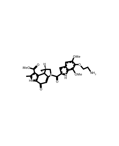 COC(=O)c1c(C)[nH]c2c1[C@@]13C[C@@H]1CN(C(=O)c1cc4cc(OC)c(OCCN)c(OC)c4[nH]1)C3=CC2=O